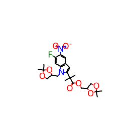 CC1(C)OCC(COC(=O)C(C)(C)c2cc3cc([N+](=O)[O-])c(F)cc3n2CC2COC(C)(C)O2)O1